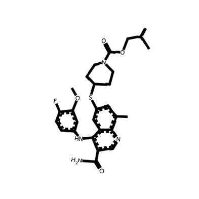 COc1cc(Nc2c(C(N)=O)cnc3c(C)cc(SC4CCN(C(=O)OCC(C)C)CC4)cc23)ccc1F